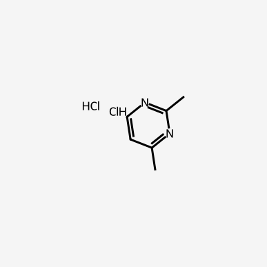 Cc1ccnc(C)n1.Cl.Cl